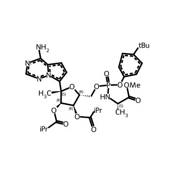 COC(=O)[C@H](C)NP(=O)(OC[C@H]1O[C@@](C)(c2ccc3c(N)ncnn23)[C@H](OC(=O)C(C)C)[C@@H]1OC(=O)C(C)C)Oc1ccc(C(C)(C)C)cc1